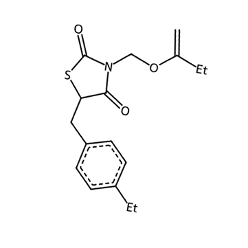 C=C(CC)OCN1C(=O)SC(Cc2ccc(CC)cc2)C1=O